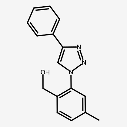 Cc1ccc(CO)c(-n2cc(-c3ccccc3)nn2)c1